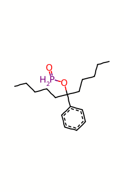 CCCCCC(CCCCC)(O[PH2]=O)c1ccccc1